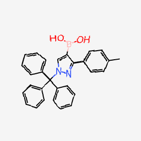 Cc1ccc(-c2nn(C(c3ccccc3)(c3ccccc3)c3ccccc3)cc2B(O)O)cc1